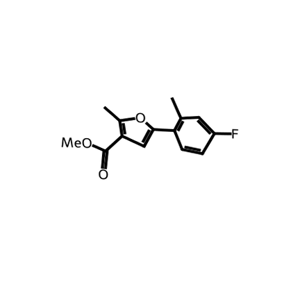 COC(=O)c1cc(-c2ccc(F)cc2C)oc1C